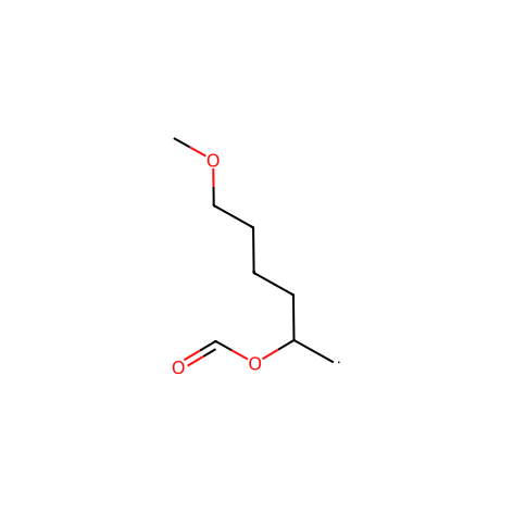 [CH2]C(CCCCOC)OC=O